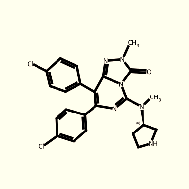 CN(c1nc(-c2ccc(Cl)cc2)c(-c2ccc(Cl)cc2)c2nn(C)c(=O)n12)[C@@H]1CCNC1